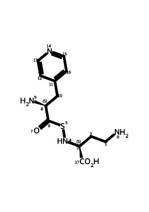 NCC[C@H](NSC(=O)[C@@H](N)Cc1ccncc1)C(=O)O